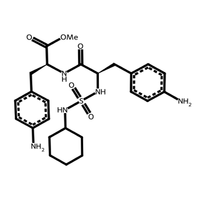 COC(=O)[C@H](Cc1ccc(N)cc1)NC(=O)[C@@H](Cc1ccc(N)cc1)NS(=O)(=O)NC1CCCCC1